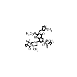 CO/N=c1\[nH]c2c(N3CCN(C(=O)C4(C(F)(F)F)CC4)[C@H](C)C3)cc(S(=O)(=O)NC3(C)CC3)cc2c(=O)n1Cc1cnn(C)c1